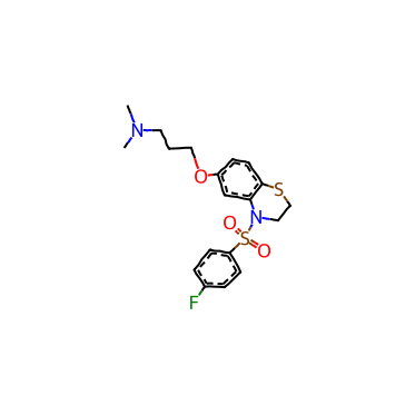 CN(C)CCCOc1ccc2c(c1)N(S(=O)(=O)c1ccc(F)cc1)CCS2